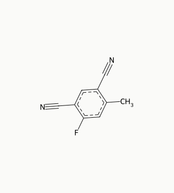 Cc1cc(F)c(C#N)cc1C#N